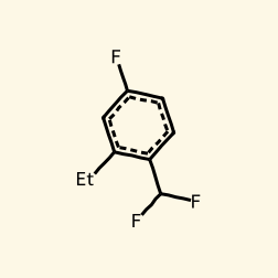 CCc1cc(F)ccc1C(F)F